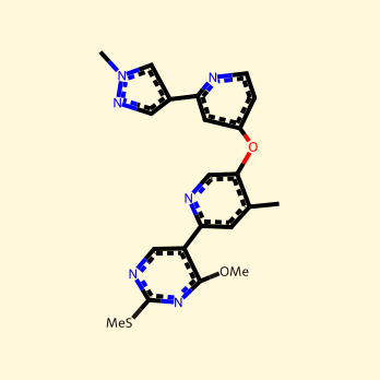 COc1nc(SC)ncc1-c1cc(C)c(Oc2ccnc(-c3cnn(C)c3)c2)cn1